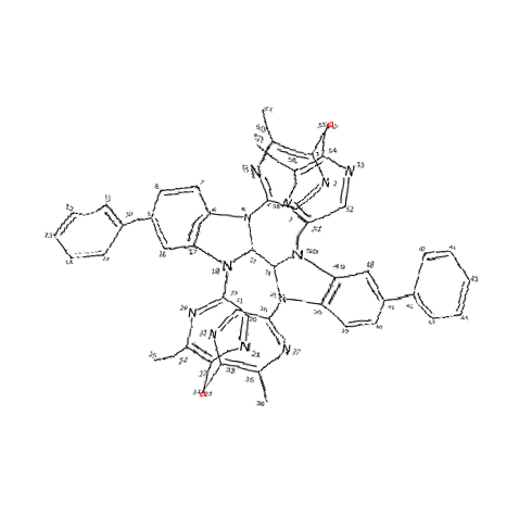 Cc1ncc(N2c3ccc(-c4ccccc4)cc3N(c3cnc(C)c(C)n3)C2C2N(c3cnc(C)c(C)n3)c3ccc(-c4ccccc4)cc3N2c2cnc(C)c(C)n2)nc1C